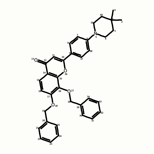 CC1(C)CCN(c2ccc(-c3cc(=O)c4ccc(OCc5ccccc5)c(OCc5ccccc5)c4o3)cc2)CC1